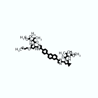 COCCOC1CC(c2ncc(-c3ccc(-c4ccc5cc(C6=NC(C7CC8(CC8)CN7C(=O)C(NC(=O)OC)C(C)C)=NC6)ccc5c4)cc3)[nH]2)N(C(=O)C(NC(=O)OC)C(C)C)C1